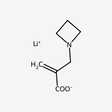 C=C(CN1CCC1)C(=O)[O-].[Li+]